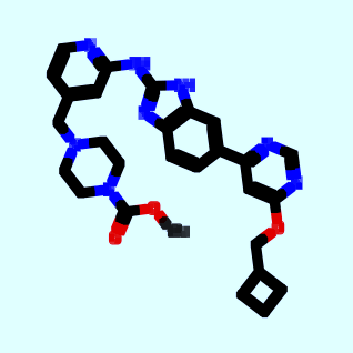 CC(C)(C)OC(=O)N1CCN(Cc2ccnc(Nc3nc4ccc(-c5cc(OCC6CCC6)ncn5)cc4[nH]3)c2)CC1